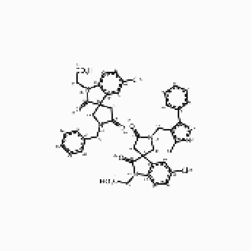 Cc1noc(-c2ccccc2)c1CN1CC2(CC1=O)C(=O)N(CC(=O)O)c1ccc(Cl)cc12.O=C(O)CN1C(=O)C2(CC(=O)N(Cc3ccccc3)C2)c2cc(Cl)ccc21